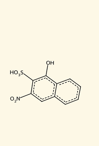 O=[N+]([O-])c1cc2ccccc2c(O)c1S(=O)(=O)O